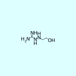 N=C(N)NNCCO